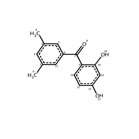 Cc1cc(C)cc(C(=O)c2ccc(O)cc2O)c1